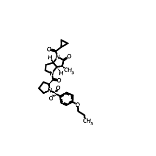 CCCOc1ccc(S(=O)(=O)N2CCC[C@H]2C(=O)N2CC[C@H]3[C@H]2[C@H](C)C(=O)N3C(=O)C2CC2)cc1